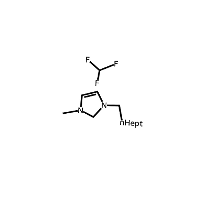 CCCCCCCCN1C=CN(C)C1.FC(F)F